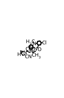 C=C(CN[C@H](C)CN1C(=O)c2cc(Cl)ccc2N(C)c2ccccc21)N1C(C#N)C[C@@H]2CC21